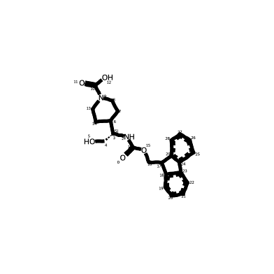 O=C(N[C@H](CO)C1CCN(C(=O)O)CC1)OCC1c2ccccc2-c2ccccc21